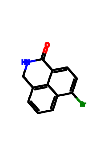 O=C1NCc2cccc3c(Br)ccc1c23